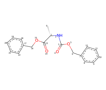 C[C@H](NC(=O)OCc1ccccc1)C(=O)OCc1ccccc1